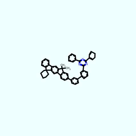 CC1(C)c2cc(-c3cccc(-c4cccc(-c5nc(C6=CCCC=C6)nc(-c6ccccc6)n5)c4)c3)ccc2-c2cc3c(cc21)-c1ccccc1C31CCCCC1